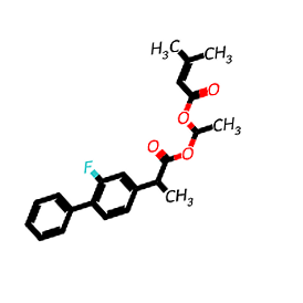 CC(C)=CC(=O)OC(C)OC(=O)C(C)c1ccc(-c2ccccc2)c(F)c1